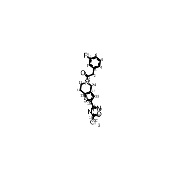 O=C(Cc1cccc(F)c1)N1CCc2sc(-c3noc(C(F)(F)F)n3)cc2C1